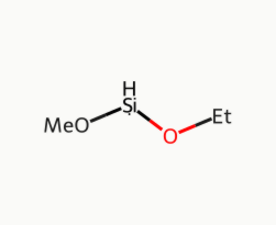 CCO[SiH]OC